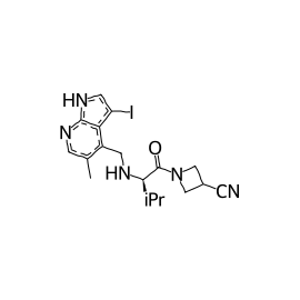 Cc1cnc2[nH]cc(I)c2c1CN[C@@H](C(=O)N1CC(C#N)C1)C(C)C